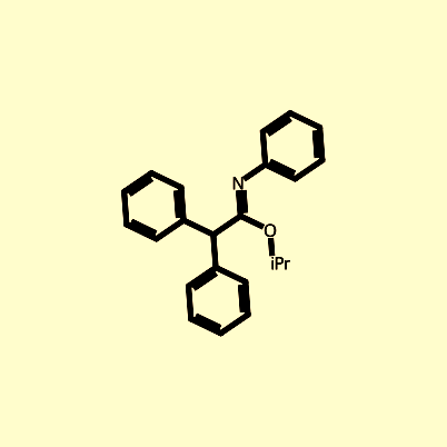 CC(C)O/C(=N\c1ccccc1)C(c1ccccc1)c1ccccc1